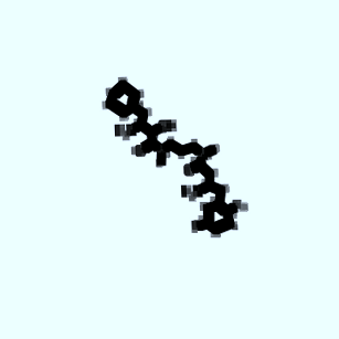 CN(CCCN(C)C(=O)C(O)C(N)Cc1ccccc1)C(=O)CC(N)Cc1cc(F)ccc1F